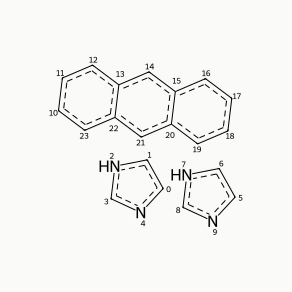 c1c[nH]cn1.c1c[nH]cn1.c1ccc2cc3ccccc3cc2c1